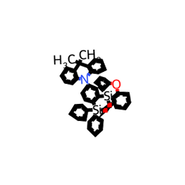 CC1(C)c2ccccc2N(c2ccc3c(c2)[Si]2(c4ccccc4Oc4ccccc42)c2ccccc2[Si]3(c2ccccc2)c2ccccc2)c2ccccc21